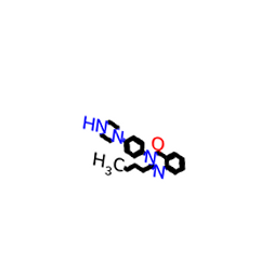 CCCCc1nc2ccccc2c(=O)n1-c1ccc(N2CCNCC2)cc1